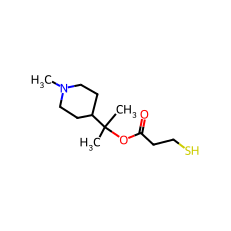 CN1CCC(C(C)(C)OC(=O)CCS)CC1